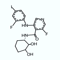 O=C(N[C@H]1CCCC(O)[C@@H]1O)c1c(F)cncc1Nc1ccc(I)cc1F